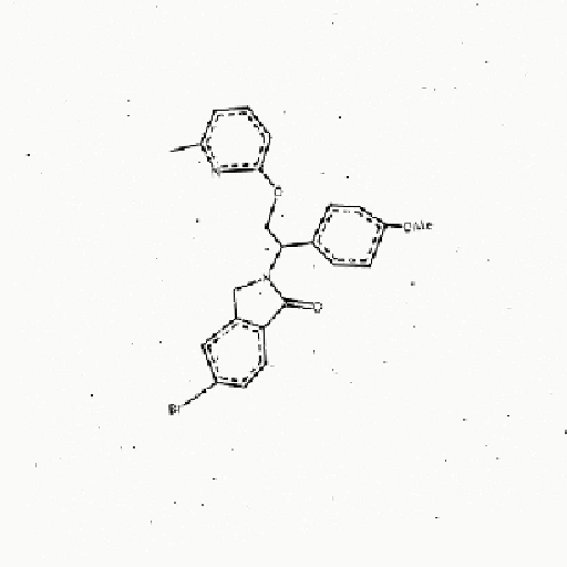 COc1ccc(C(COc2cccc(C)n2)N2Cc3cc(Br)ccc3C2=O)cc1